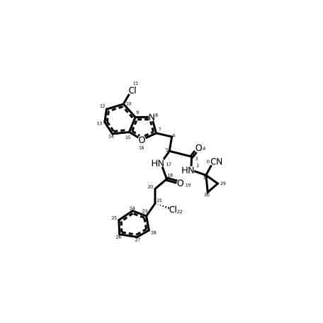 N#CC1(NC(=O)C(Cc2nc3c(Cl)cccc3o2)NC(=O)C[C@H](Cl)c2ccccc2)CC1